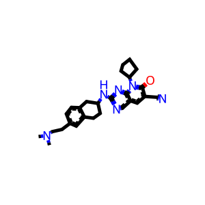 CN(C)CCc1ccc2c(c1)CCC(Nc1ncc3cc(C#N)c(=O)n(C4CCCC4)c3n1)C2